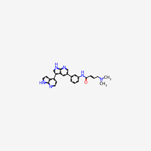 CN(C)CC=CC(=O)Nc1cccc(-c2cnc3[nH]cc(-c4ccnc5[nH]ccc45)c3c2)c1